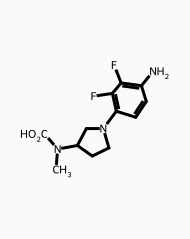 CN(C(=O)O)C1CCN(c2ccc(N)c(F)c2F)C1